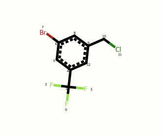 FC(F)(F)c1cc(Br)cc(CCl)c1